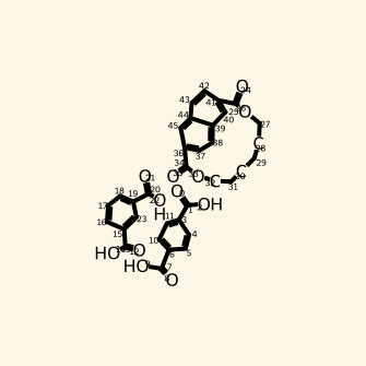 O=C(O)c1ccc(C(=O)O)cc1.O=C(O)c1cccc(C(=O)O)c1.O=C1OCCCCCCOC(=O)c2ccc3cc1ccc3c2